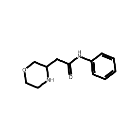 O=C(CC1COCCN1)Nc1ccccc1